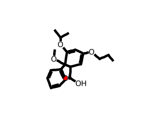 CCCOC1=CC(C(=O)O)C(OC)(c2ccccc2)C(OC(C)C)=C1